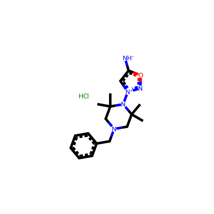 CC1(C)CN(Cc2ccccc2)CC(C)(C)N1[n+]1cc([NH-])on1.Cl